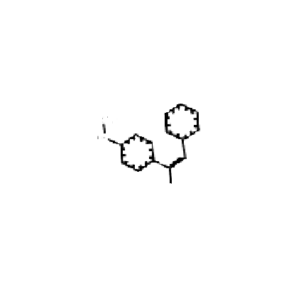 CC(=Cc1ccccc1)c1ccc(NS(=O)(=O)O)cc1